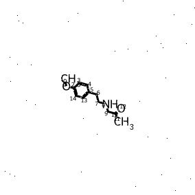 COc1ccc(CCNCC(C)=O)cc1